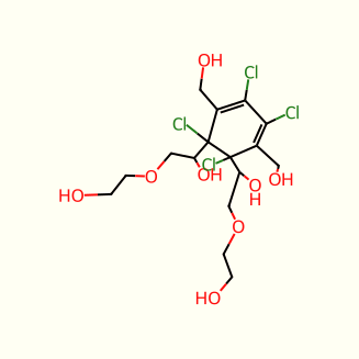 OCCOCC(O)C1(Cl)C(CO)=C(Cl)C(Cl)=C(CO)C1(Cl)C(O)COCCO